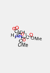 COC(=O)c1ccc([C@H]2C[C@@H](NC(=O)C(C)(C)c3ccc4c(c3)OCO4)c3ccc(OC)cc3O2)cc1